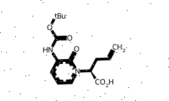 C=CC[C@@H](C(=O)O)n1cccc(NC(=O)OC(C)(C)C)c1=O